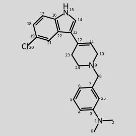 CN(C)c1cccc(CN2CC=C(c3c[nH]c4ccc(Cl)cc34)CC2)c1